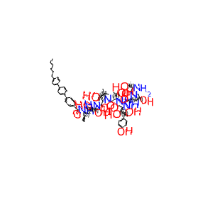 C#C[C@H](C[C@@H](O)[C@@H](O)NC(=O)C1[C@@H](O)[C@@H](C)CN1C(=O)C(NC(=O)C(NC(=O)[C@@H]1C[C@@H](O)CN1C(=O)C(N)[C@@H](C)O)[C@H](O)[C@@H](O)c1ccc(O)cc1)[C@@H](C)O)NC(=O)c1ccc(-c2ccc(-c3ccc(CCCCCC)cc3)cc2)cc1